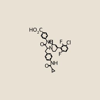 O=C(O)c1ccc(NC(=O)C(Cc2ccc(NC(=O)C3CC3)cc2)N2CCC(c3c(F)ccc(Cl)c3F)=CC2=O)cc1